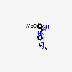 COc1ccc2[nH]nc(-c3nc4c(F)c(N5CCN(C(C)C)CC5)c(F)cc4[nH]3)c2c1